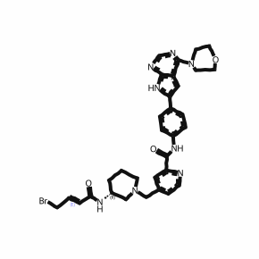 O=C(/C=C/CBr)N[C@@H]1CCCN(Cc2ccnc(C(=O)Nc3ccc(-c4cc5c(N6CCOCC6)ncnc5[nH]4)cc3)c2)C1